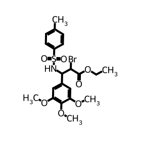 CCOC(=O)C(Br)C(NS(=O)(=O)c1ccc(C)cc1)c1cc(OC)c(OC)c(OC)c1